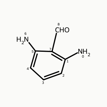 Nc1cccc(N)c1C=O